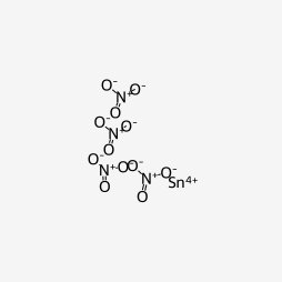 O=[N+]([O-])[O-].O=[N+]([O-])[O-].O=[N+]([O-])[O-].O=[N+]([O-])[O-].[Sn+4]